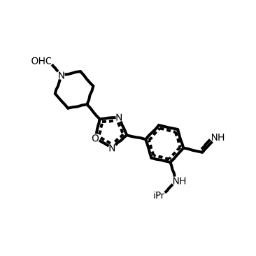 CC(C)Nc1cc(-c2noc(C3CCN(C=O)CC3)n2)ccc1C=N